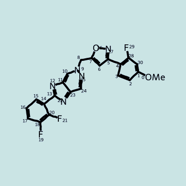 COc1ccc(-c2cc(Cn3cc4nc(-c5cccc(F)c5F)nc-4cn3)on2)c(F)c1